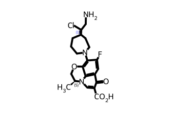 C[C@H]1COc2c(N3CCC/C(=C(\Cl)CN)CC3)c(F)cc3c(=O)c(C(=O)O)cn1c23